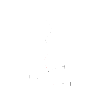 CCCCOC(C)(C)OC